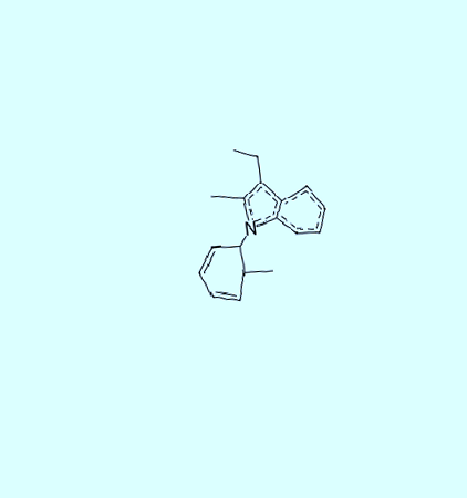 CCc1c(C)n(C2C=CC=CC2C)c2ccccc12